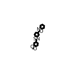 c1ccc2oc(-c3ccc4sc(-c5ccc6c(c5)OCO6)nc4c3)nc2c1